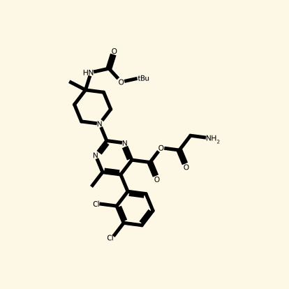 Cc1nc(N2CCC(C)(NC(=O)OC(C)(C)C)CC2)nc(C(=O)OC(=O)CN)c1-c1cccc(Cl)c1Cl